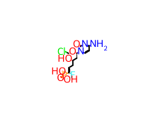 Nc1ccn([C@@H](C[C@H](O)C/C=C(\F)P(=O)(O)O)OCCl)c(=O)n1